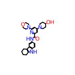 O=C(Nc1ccc2[nH]c3c(c2c1)CCCC3)c1cc(N2CCC(O)CC2)cc(N2CCOCC2)n1